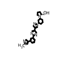 Cn1cc(-c2cccc(-c3ncc(-c4cnn(C5CCCC(N6CCC[C@@H]6CO)C5)c4)cn3)c2)cn1